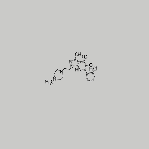 Cc1nn(CCN2CCN(C)CC2)c2[nH]c(-c3ccccc3Cl)c(O)c(=O)c12